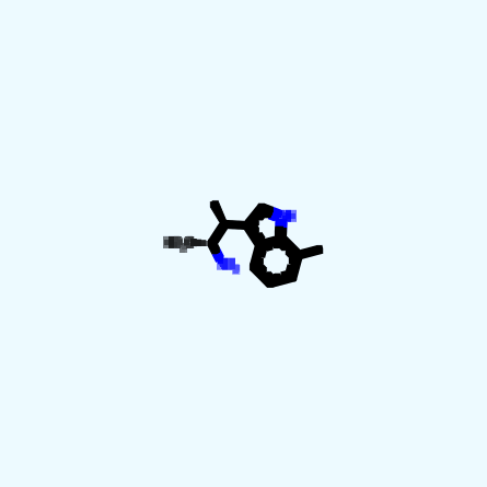 Cc1cccc2c([C@H](C)[C@H](N)C(=O)O)c[nH]c12